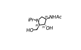 CC(=O)N[C@@H]1CN(C(C)C)[C@H](CO)[C@H]1O